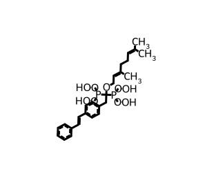 CC(C)=CCC/C(C)=C/COC(Cc1ccc(/C=C/c2ccccc2)cc1)(P(OO)OO)P(OO)OO